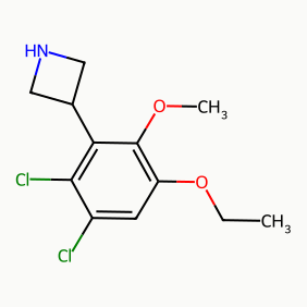 CCOc1cc(Cl)c(Cl)c(C2CNC2)c1OC